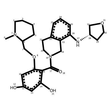 CN1CCCCC1COc1cc(O)cc(O)c1C(=O)N1CCc2cccc(N[C@H]3CCOC3)c2C1